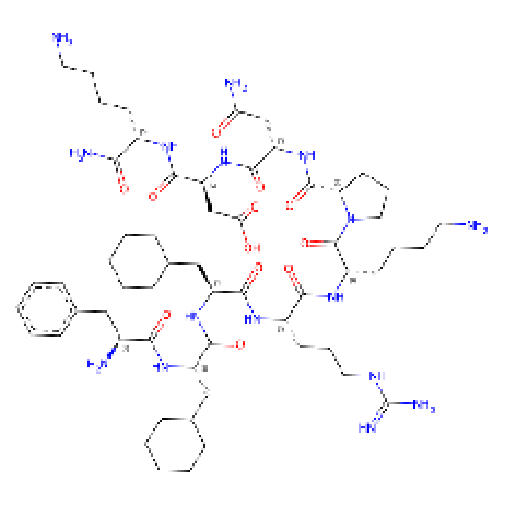 N=C(N)NCCC[C@H](NC(=O)[C@H](CC1CCCCC1)NC(=O)[C@H](CC1CCCCC1)NC(=O)[C@@H](N)Cc1ccccc1)C(=O)N[C@@H](CCCCN)C(=O)N1CCC[C@H]1C(=O)N[C@@H](CC(N)=O)C(=O)N[C@@H](CC(=O)O)C(=O)N[C@@H](CCCCN)C(N)=O